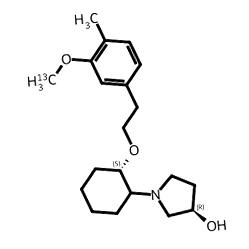 Cc1ccc(CCO[C@H]2CCCCC2N2CC[C@@H](O)C2)cc1O[13CH3]